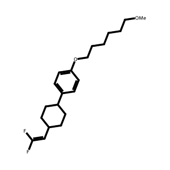 COCCCCCCOc1ccc(C2CCC(C=C(F)F)CC2)cc1